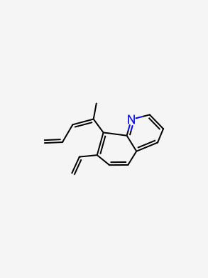 C=C/C=C(/C)c1c(C=C)ccc2cccnc12